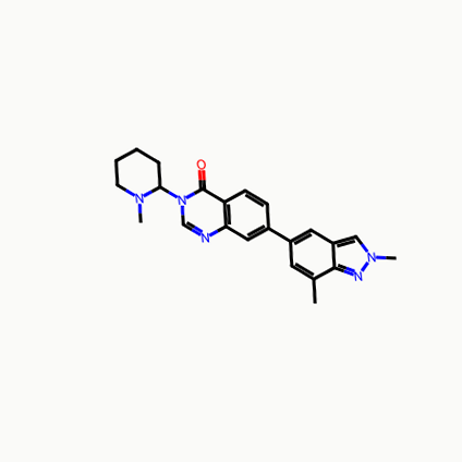 Cc1cc(-c2ccc3c(=O)n(C4CCCCN4C)cnc3c2)cc2cn(C)nc12